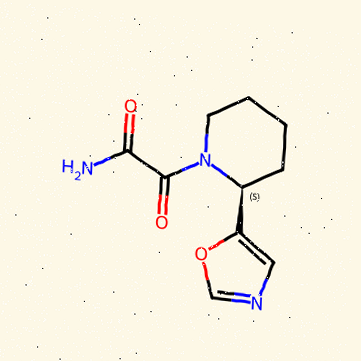 NC(=O)C(=O)N1CCCC[C@H]1c1cnco1